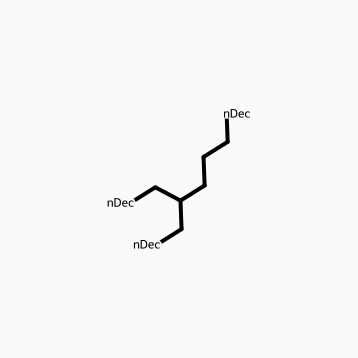 [CH2]CCCCCCCCCCCCC(CCCCCCCCCCC)CCCCCCCCCCC